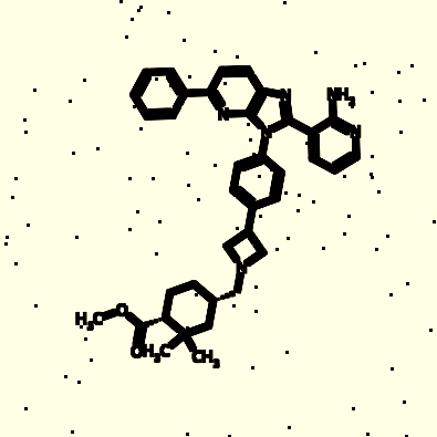 COC(=O)[C@@H]1CC[C@H](CN2CC(c3ccc(-n4c(-c5cccnc5N)nc5ccc(-c6ccccc6)nc54)cc3)C2)CC1(C)C